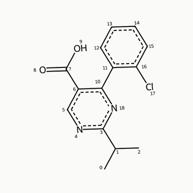 CC(C)c1ncc(C(=O)O)c(-c2ccccc2Cl)n1